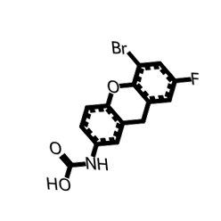 O=C(O)Nc1ccc2c(c1)Cc1cc(F)cc(Br)c1O2